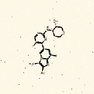 CC(=O)c1nc2c(F)cc(-c3nc(N[C@@H]4CCOC[C@H]4O)ncc3F)cn2c1C